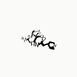 NC(=O)C[C@H](NC(=O)Cc1ccncc1)C(N)=O